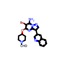 Nc1c(Br)c(OC2CCN(C=O)CC2)nc2c(-c3cnc4ccccc4c3)cnn12